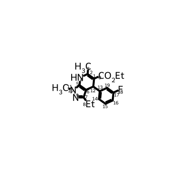 CCOC(=O)C1=C(C)Nc2c(c(CC)nn2C)C1c1cccc(F)c1